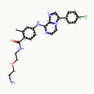 Cc1cc(Nc2nccn3c(-c4ccc(Cl)cc4)cnc23)ccc1C(=O)NCCOCCN